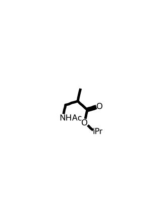 CC(=O)NCC(C)C(=O)OC(C)C